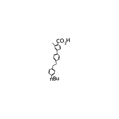 CCCCc1ccc(CCc2ccc(-c3ccc(C(=O)O)c(C)c3)cc2)cc1